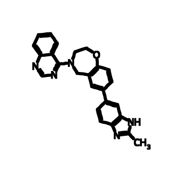 Cc1nc2ccc(-c3ccc4c(c3)CN(c3ncnc5ccccc35)CCO4)cc2[nH]1